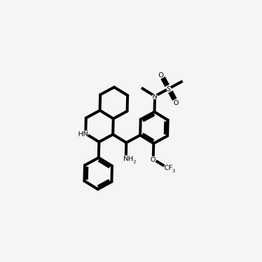 CN(c1ccc(OC(F)(F)F)c(C(N)C2C(c3ccccc3)NCC3CCCCC32)c1)S(C)(=O)=O